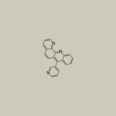 c1cncc(-c2c3ccccc3nc3c2ccc2cccnc23)c1